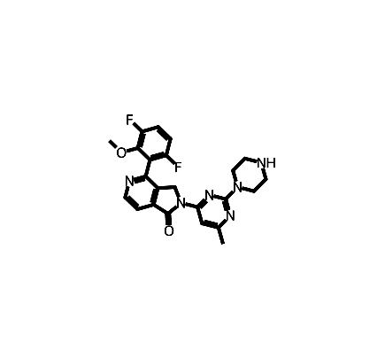 COc1c(F)ccc(F)c1-c1nccc2c1CN(c1cc(C)nc(N3CCNCC3)n1)C2=O